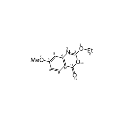 CCOc1nc2cc(OC)ccc2c(=O)o1